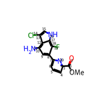 COC(=O)c1cccc(-c2cc(N)c3c(Cl)c[nH]c3c2F)n1